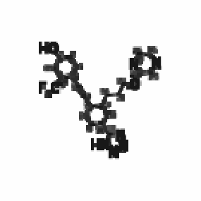 Oc1ccc(C#Cc2ccc(-c3nnn[nH]3)cc2CCCOc2cnccn2)c(C(F)(F)F)c1